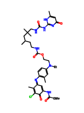 CCN(CCOC(=O)NCCC(C)CC(C)(C)CNC(=O)Nc1nc(=O)cc(C)[nH]1)c1ccc(/N=C2\C=C(NC(=O)OC)C(=O)C(Cl)=C2C)c(C)c1